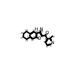 Cc1ncccc1C(=O)c1oc2cc3c(cc2c1N)CCCC3